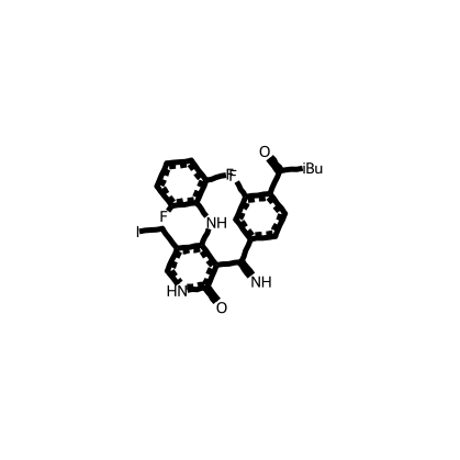 CCC(C)C(=O)c1ccc(C(=N)c2c(Nc3c(F)cccc3F)c(CI)c[nH]c2=O)cc1F